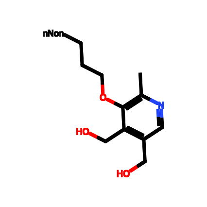 CCCCCCCCCCCCOc1c(C)ncc(CO)c1CO